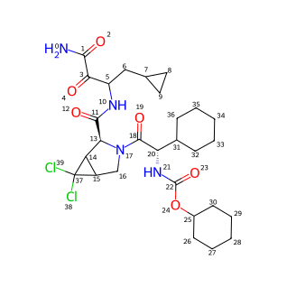 NC(=O)C(=O)C(CC1CC1)NC(=O)[C@@H]1C2C(CN1C(=O)[C@@H](NC(=O)OC1CCCCC1)C1CCCCC1)C2(Cl)Cl